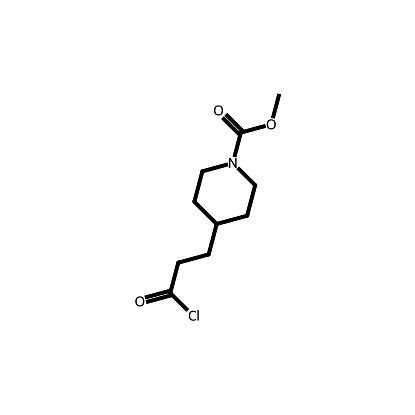 COC(=O)N1CCC(CCC(=O)Cl)CC1